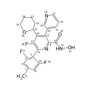 Cc1cc(F)c(-c2nc(C(=O)NO)c(-c3cccnc3)c(C3CCCCO3)c2F)c(F)c1